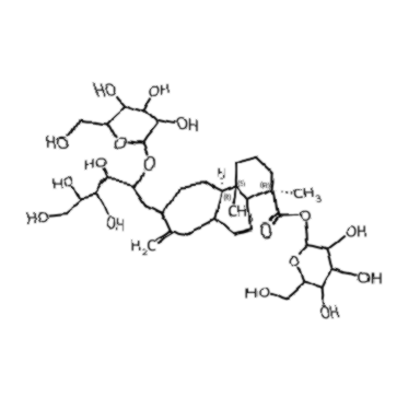 C=C1CC2CCC3[C@](C)(C(=O)OC4OC(CO)C(O)C(O)C4O)CCC[C@@]3(C)[C@@H]2CCC1CC(OC1OC(CO)C(O)C(O)C1O)C(O)C(O)C(O)CO